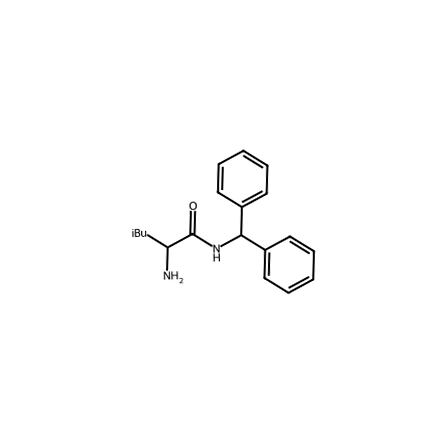 CCC(C)C(N)C(=O)NC(c1ccccc1)c1ccccc1